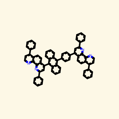 c1ccc(-c2cc(-c3ccc(-c4c5ccccc5c(-c5cc(-c6ccccc6)nc6c5ccc5c(-c7ccccc7)ccnc56)c5ccccc45)cc3)c3ccc4c(-c5ccccc5)ccnc4c3n2)cc1